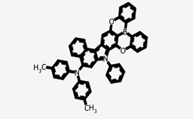 Cc1ccc(N(c2ccc(C)cc2)c2cc3c(c4ccccc24)c2cc4c5c(c2n3-c2ccccc2)Oc2ccccc2B5c2ccccc2O4)cc1